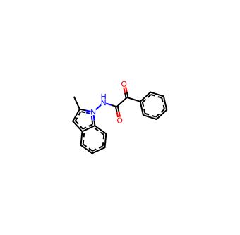 Cc1cc2ccccc2n1NC(=O)C(=O)c1ccccc1